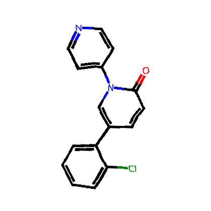 O=c1ccc(-c2ccccc2Cl)cn1-c1ccncc1